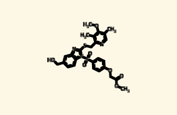 COC(=O)COc1ccc(S(=O)(=O)n2c(SCc3ncc(C)c(OC)c3C)nc3cc(CO)ccc32)cc1